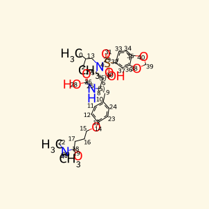 CC(C)CN(C[C@H](O)[C@H](Cc1ccc(OCCCC(=O)N(C)C)cc1)NC(=O)O)S(=O)(=O)c1ccc2c(c1)OCO2